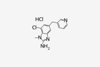 Cl.Cn1c(N)nc2cc(Cc3cccnc3)cc(Cl)c21